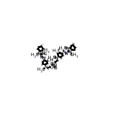 Cc1cc(N(C)CCOS(=O)(=O)OCCN(C)c2ccc(/N=N/c3n(C)c4ccccc4[n+]3C)c(C)c2)ccc1/N=N/c1n(C)c2ccccc2[n+]1C